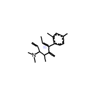 C=CC(C(C)C(=C)/C(=C/C)c1ccc(C)cc1C)N(C)C